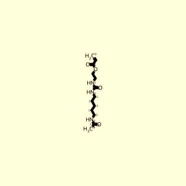 C=CC(=O)OCCNC(=O)NCCCCCNC(C)=O